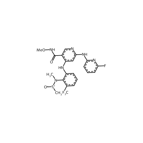 CONC(=O)c1cnc(Nc2cccc(F)n2)cc1Nc1cccc(C(F)(F)F)c1N(C)[S+](C)[O-]